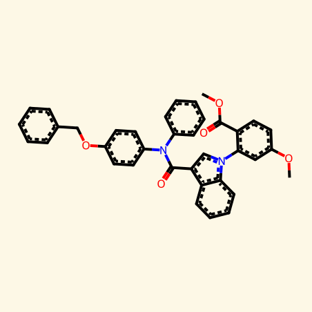 COC(=O)c1ccc(OC)cc1-n1cc(C(=O)N(c2ccccc2)c2ccc(OCc3ccccc3)cc2)c2ccccc21